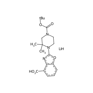 CC(C)(C)OC(=O)N1CCN(c2nc3c(C(=O)O)cccc3o2)C(C)(C)C1.[LiH]